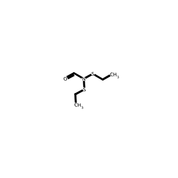 CCSN(C=O)SCC